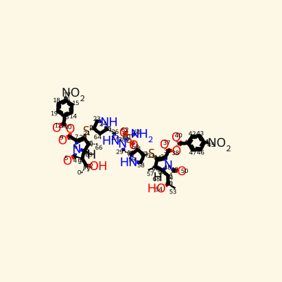 C[C@@H](O)[C@H]1C(=O)N2C(C(=O)OC(=O)c3ccc([N+](=O)[O-])cc3)=C(S[C@@H]3CN[C@H](CNN(C[C@@H]4C[C@H](SC5=C(C(=O)OC(=O)c6ccc([N+](=O)[O-])cc6)N6C(=O)[C@H]([C@@H](C)O)[C@H]6[C@H]5C)CN4)S(N)(=O)=O)C3)[C@H](C)[C@H]12